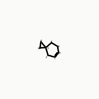 C1=CCC2(CC1)CC2